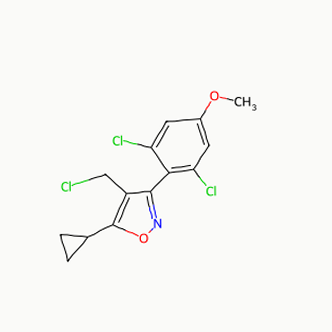 COc1cc(Cl)c(-c2noc(C3CC3)c2CCl)c(Cl)c1